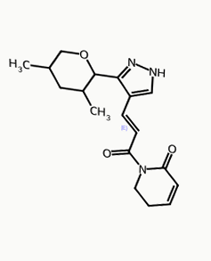 CC1COC(c2n[nH]cc2/C=C/C(=O)N2CCC=CC2=O)C(C)C1